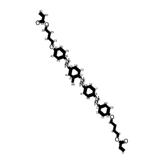 C=CC(=O)OCCCCOc1ccc(N=Nc2ccc(N=Nc3ccc(N=Nc4ccc(OCCCCOC(=O)C=C)cc4)cc3C)cc2)cc1